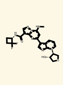 CNc1cc(-c2cnc3n([C@H]4COC[C@@H]4O)cccc2-3)nc2c(C(=O)N[C@H]3CCC3(F)F)cnn12